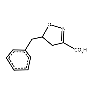 O=C(O)C1=NOC(Cc2ccccc2)C1